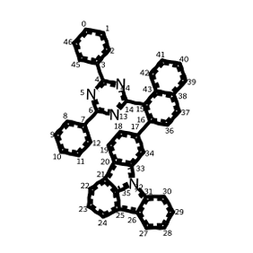 c1ccc(-c2nc(-c3ccccc3)nc(-c3c(-c4ccc5c6cccc7c8ccccc8n(c5c4)c76)ccc4ccccc34)n2)cc1